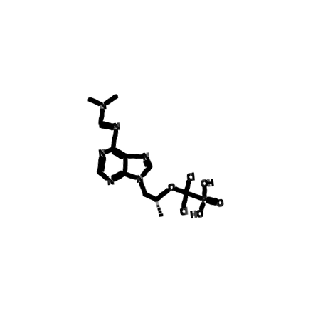 C[C@H](Cn1cnc2c(N=CN(C)C)ncnc21)OC(Cl)(Cl)P(=O)(O)O